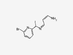 N/C=C\C=N/C(I)c1cccc(Br)n1